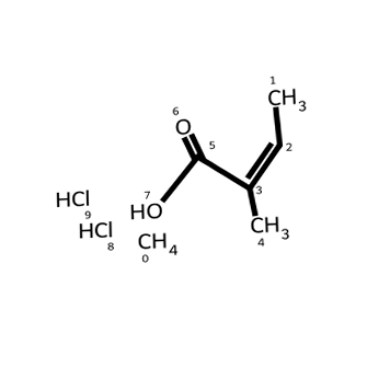 C.CC=C(C)C(=O)O.Cl.Cl